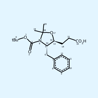 CC(C)(C)OC(=O)N1[C@@H](Cc2ccccc2)[C@H](CCC(=O)O)OC1(C)C